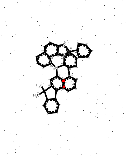 CC1(C)c2ccccc2-c2ccc(N(c3ccccc3-c3ccccc3)c3cccc4ccc5oc(-c6ccccc6)nc5c34)cc21